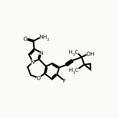 CC(O)(C#Cc1cc2c(cc1F)OCCn1cc(C(N)=O)nc1-2)C1(C)CC1